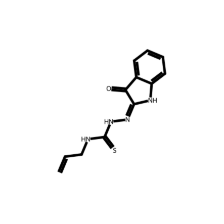 C=CCNC(=S)NN=C1Nc2ccccc2C1=O